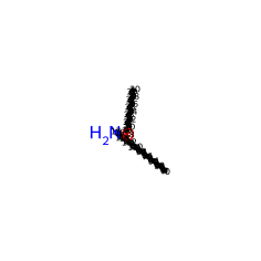 CCCCCCCCCCCCCCC(CCN)OCCCCCCCCCCCC